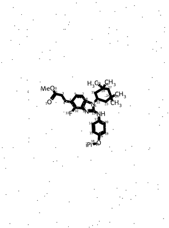 COC(=O)CCc1ccc2c(nc(Nc3ccc(OC(C)C)cc3)n2C2CC(C)(C)CC(C)(C)C2)c1F